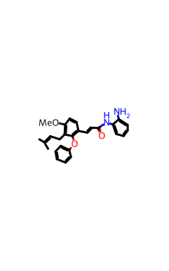 COc1ccc(/C=C/C(=O)Nc2ccccc2N)c(Oc2ccccc2)c1CC=C(C)C